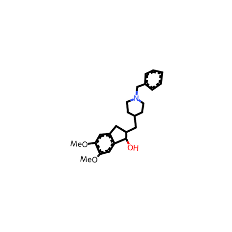 COc1cc2c(cc1OC)C(O)C(CC1CCN(Cc3ccccc3)CC1)C2